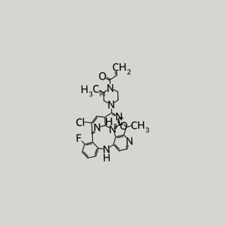 C=CC(=O)N1CCN(c2nc(=O)n3c4nc(c(Cl)cc24)c2c(F)cccc2[nH]c2ccnc(C(C)C)c23)C[C@H]1C